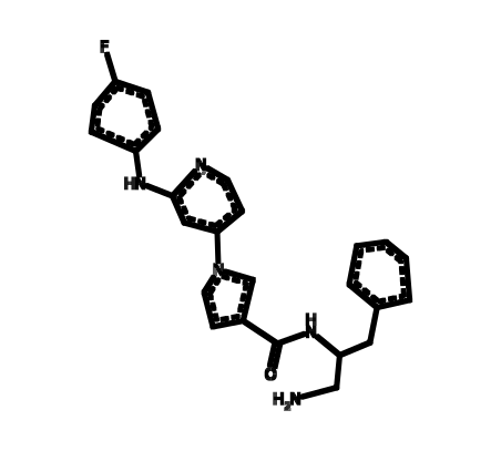 NCC(Cc1ccccc1)NC(=O)c1ccn(-c2ccnc(Nc3ccc(F)cc3)c2)c1